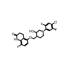 O=C1CCc2c(OCC3CCN(c4cc(F)c(Cl)cc4F)CC3O)ccc(F)c2N1